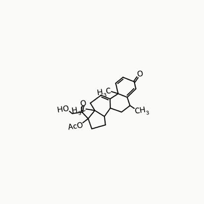 CC(=O)OC1(C(=O)CO)CCC2C3CC(C)C4=CC(=O)C=CC4(C)C3=CCC21C